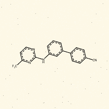 N#Cc1ccc(-c2cccc(Nc3nccc(C(F)(F)F)n3)c2)cc1